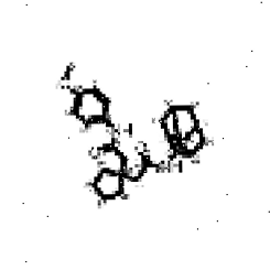 COc1ccc(NC(=O)CC2(CC(=O)NC3C4CC5CC(C4)CC3C5)CCCC2)cc1